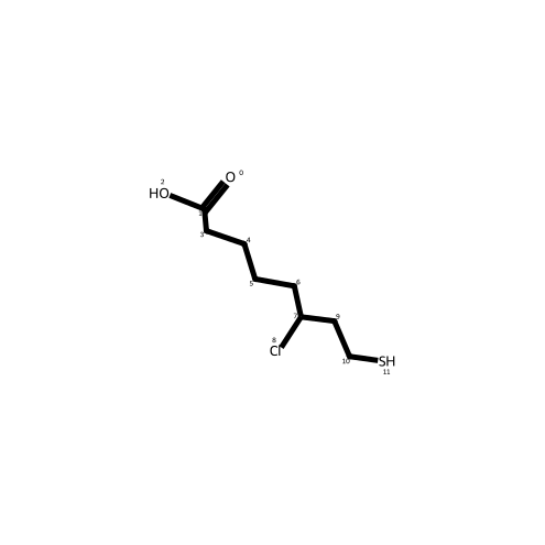 O=C(O)CCCCC(Cl)CCS